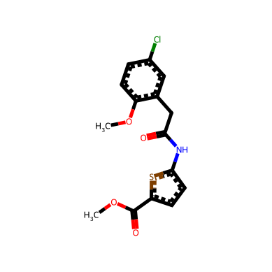 COC(=O)c1ccc(NC(=O)Cc2cc(Cl)ccc2OC)s1